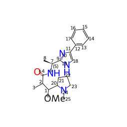 COC(C(C)C(=O)N[C@@H](C)c1nc(-c2ccccc2)c[nH]1)C1CCCN1C